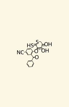 N#Cc1ccc(O[C@@H]2[C@@H](O)[C@H](O)CS[C@H]2S)c(C(=O)c2ccccc2)c1